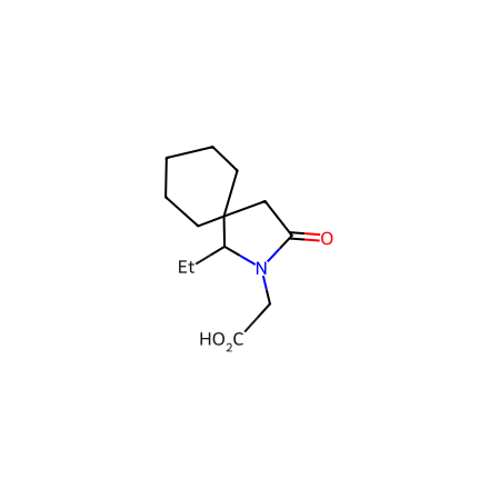 CCC1N(CC(=O)O)C(=O)CC12CCCCC2